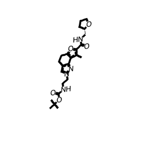 Cc1c(C(=O)NC[C@@H]2CCCO2)oc2c1-c1nn(CCNC(=O)OC(C)(C)C)cc1CC2